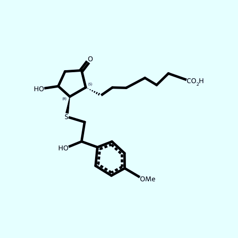 COc1ccc(C(O)CS[C@H]2C(O)CC(=O)[C@@H]2CCCCCCC(=O)O)cc1